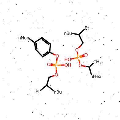 CCCCCCC(C)OP(=O)(O)OCC(CC)CCCC.CCCCCCCCCc1ccc(OP(=O)(O)OCC(CC)CCCC)cc1